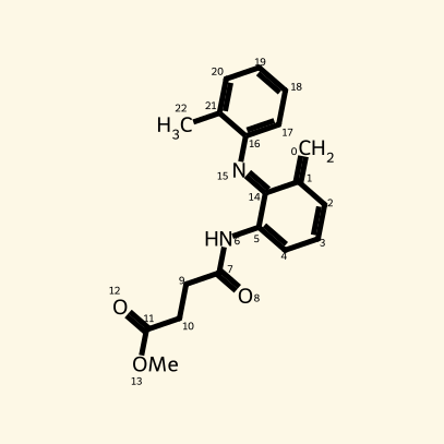 C=C1C=CC=C(NC(=O)CCC(=O)OC)/C1=N/c1ccccc1C